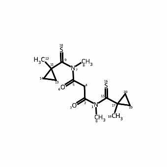 CN(C(=O)CC(=O)N(C)C(=S)C1(C)CC1)C(=S)C1(C)CC1